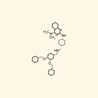 CN(C)c1nc(N[C@H]2CC[C@@H](CNCc3ccc(OCc4ccccc4)c(OCc4ccccc4)c3)CC2)nc2ccccc12